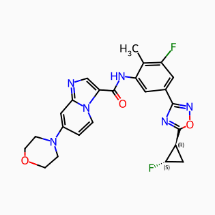 Cc1c(F)cc(-c2noc([C@H]3C[C@@H]3F)n2)cc1NC(=O)c1cnc2cc(N3CCOCC3)ccn12